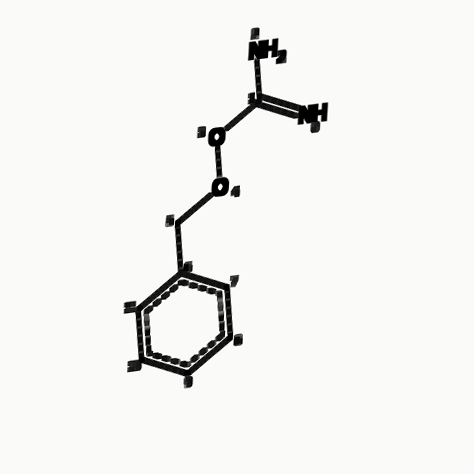 N=C(N)OOCc1ccccc1